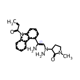 C=CC(=O)n1c2ccccc2c2c(/C(N)=C/N(N)C3CCN(C)C3=O)cccc21